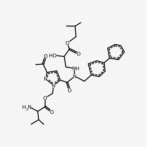 CC(=O)c1cc(C(=O)N(Cc2ccc(-c3ccccc3)cc2)NCC(O)C(=O)OCC(C)C)n(COC(=O)C(N)C(C)C)n1